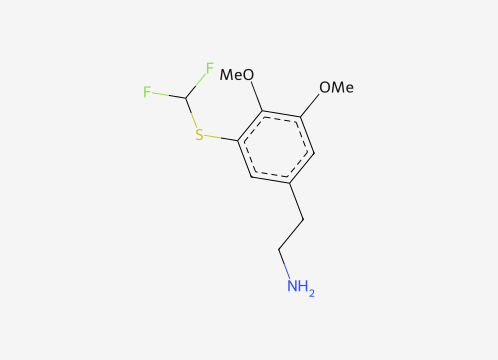 COc1cc(CCN)cc(SC(F)F)c1OC